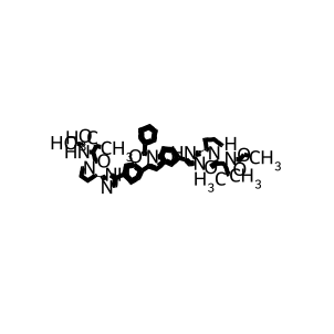 COC(=O)NC(C(=O)N1CCC[C@H]1c1ncc(-c2ccc3c(c2)cc2n3C(c3ccccc3)Oc3cc(-c4cnc([C@@H]5CCCN5C(=O)C(NC(=O)O)C(C)C)[nH]4)ccc3-2)[nH]1)C(C)C